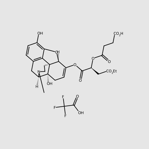 CCOC(=O)C[C@H](OC(=O)CCC(=O)O)C(=O)OC1=CC[C@@]2(O)[C@H]3Cc4ccc(O)c5c4[C@@]2(CCN3C)[C@H]1O5.O=C(O)C(F)(F)F